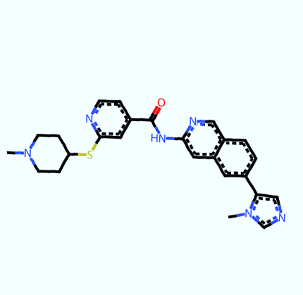 CN1CCC(Sc2cc(C(=O)Nc3cc4cc(-c5cncn5C)ccc4cn3)ccn2)CC1